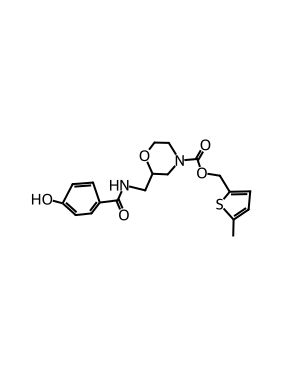 Cc1ccc(COC(=O)N2CCOC(CNC(=O)c3ccc(O)cc3)C2)s1